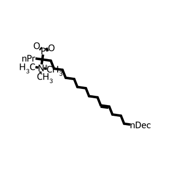 CCCCCCCCCCCCCC=CCCCCCCCCCC(CCC)(P(=O)=O)[N+](C)(C)C